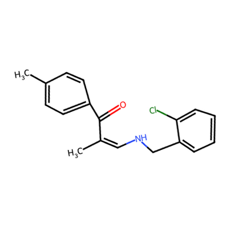 CC(=CNCc1ccccc1Cl)C(=O)c1ccc(C)cc1